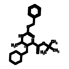 CC(NC(=O)OCc1ccccc1)[C@H](CC1CCCCC1)NC(=O)OC(C)(C)C